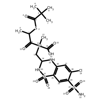 CC(SC(=O)C(C)(C)C)C(=O)[N+](C)(CC1Nc2cc(Cl)c(S(N)(=O)=O)cc2S(=O)(=O)N1)C(=O)O